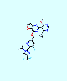 COc1ncnc(C2CC2)c1-c1nc(OCc2cnc(-c3nc(C(F)(F)F)cn3C(C)C)c(F)c2)c2occc2n1